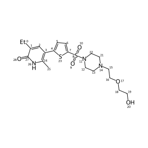 CCc1cc(-c2ccc(S(=O)(=O)N3CCN(CCOCCO)CC3)s2)c(C)[nH]c1=O